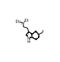 CCN(CC)CCc1c[nH]c2ccc(F)cc12